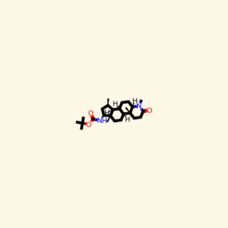 C[C@@H]1C[C@H](NC(=O)OC(C)(C)C)[C@@]2(C)CC[C@H]3[C@@H](CC[C@H]4N(C)C(=O)CC[C@]34C)[C@H]12